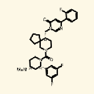 CN[C@@H]1CCN(C(=O)N2CC[C@@H](Cn3cnc(-c4ccccc4F)cc3=O)C3(CCCC3)C2)[C@H](c2cc(F)cc(F)c2)C1